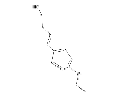 CCOc1ccc(C=NCCO)cc1